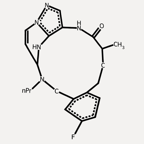 CCCN1Cc2cc(F)ccc2CCC(C)C(=O)Nc2cnn3c2NC1C=C3